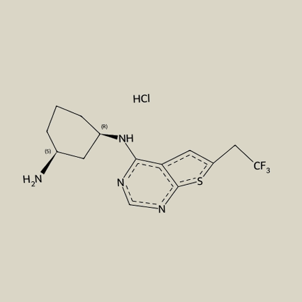 Cl.N[C@H]1CCC[C@@H](Nc2ncnc3sc(CC(F)(F)F)cc23)C1